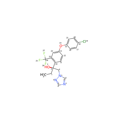 CC[C@@](O)(Cn1cncn1)c1ccc(Oc2ccc(Cl)cc2)cc1C(F)(F)F